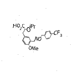 COc1ccc(CC(OC(C)C)C(=O)O)cc1/C=N/OCc1ccc(C(F)(F)F)cc1